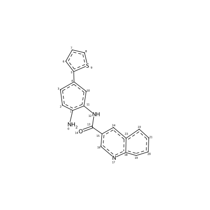 Nc1ccc(-c2cccs2)cc1NC(=O)c1cnc2ccccc2c1